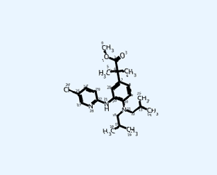 COC(=O)C(C)(C)c1ccc(N(CC(C)C)CC(C)C)c(Nc2ccc(Cl)cn2)c1